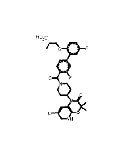 C[C@@H](COc1ccc(F)cc1-c1ccc(C(=O)N2CCC(N3C(=O)C(C)(C)OC4=C3C=C(Cl)CN4)CC2)c(F)c1)C(=O)O